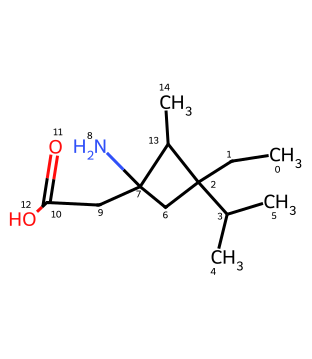 CCC1(C(C)C)CC(N)(CC(=O)O)C1C